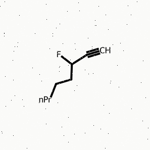 C#CC(F)CCCCC